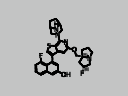 Oc1cc(-c2csc3c(N4CC5CCC(C4)N5)nc(OC[C@@]45CCCN4C[C@H](F)C5)cc23)c2c(F)cccc2c1